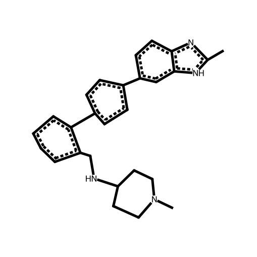 Cc1nc2ccc(-c3ccc(-c4ccccc4CNC4CCN(C)CC4)cc3)cc2[nH]1